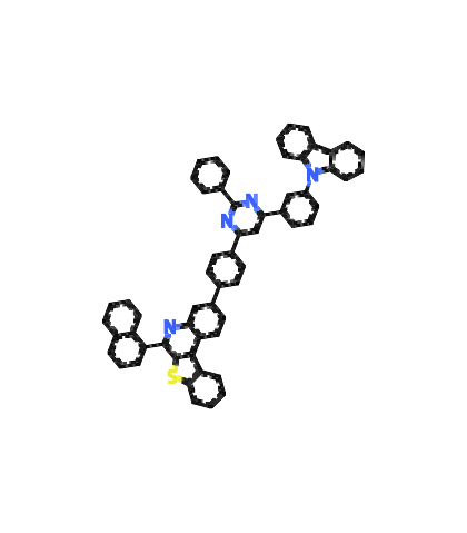 c1ccc(-c2nc(-c3ccc(-c4ccc5c(c4)nc(-c4cccc6ccccc46)c4sc6ccccc6c45)cc3)cc(-c3cccc(-n4c5ccccc5c5ccccc54)c3)n2)cc1